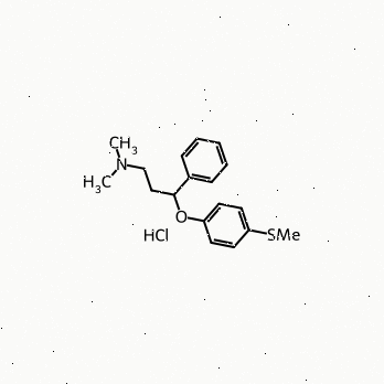 CSc1ccc(OC(CCN(C)C)c2ccccc2)cc1.Cl